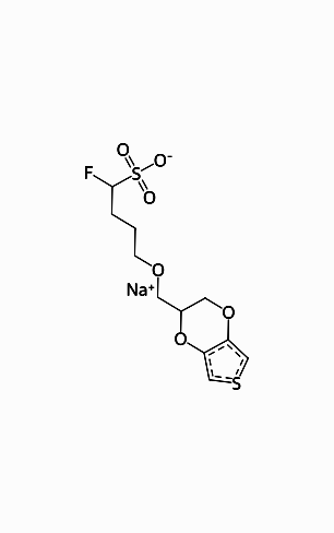 O=S(=O)([O-])C(F)CCCOCC1COc2cscc2O1.[Na+]